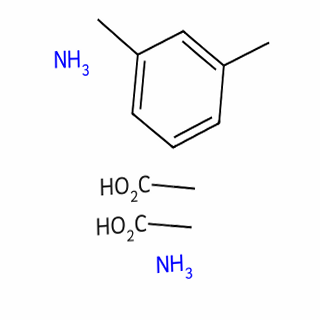 CC(=O)O.CC(=O)O.Cc1cccc(C)c1.N.N